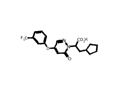 O=C(O)C(CC1CCCC1)n1ncc(Oc2cccc(C(F)(F)F)c2)cc1=O